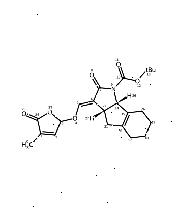 CC1=CC(O/C=C2/C(=O)N(C(=O)OC(C)(C)C)[C@@H]3C4=C(CCCC4)C[C@H]23)OC1=O